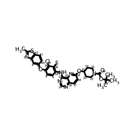 Cc1nc2cc(Oc3ccc(Nc4ncnc5ccc(OC6CCN(C(=O)OC(C)(C)C)CC6)nc45)c(F)c3Cl)ccc2s1